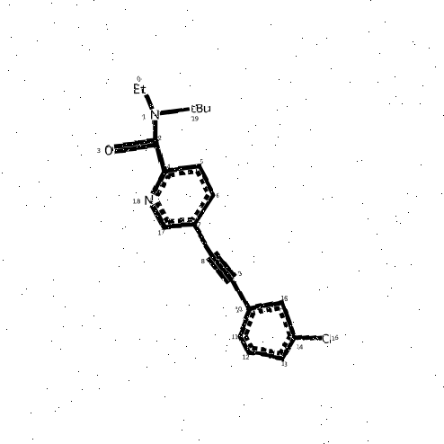 CCN(C(=O)c1ccc(C#Cc2cccc(Cl)c2)cn1)C(C)(C)C